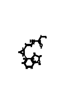 CCC(=O)NC=C[C@@H]1C[C@H]1c1cccc2c1CCO2